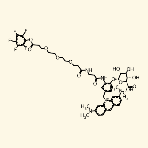 CN(C)c1ccc2cc3ccc(N(C)C)cc3[n+](Cc3ccc(O[C@@H]4O[C@H](C(=O)O)[C@@H](O)[C@H](O)[C@H]4O)c(NC(=O)CCNC(=O)CCOCCOCCOCCC(=O)Oc4c(F)c(F)c(F)c(F)c4F)c3)c2c1